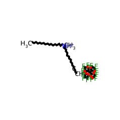 CCCCCCCCCCCCCCCCCC[NH+](C)CCCCCCCCCCCCCCCC.Fc1c(F)c(F)c([B-](c2c(F)c(F)c(F)c(F)c2F)(c2c(F)c(F)c(F)c(F)c2F)c2c(F)c(F)c(F)c(F)c2F)c(F)c1F